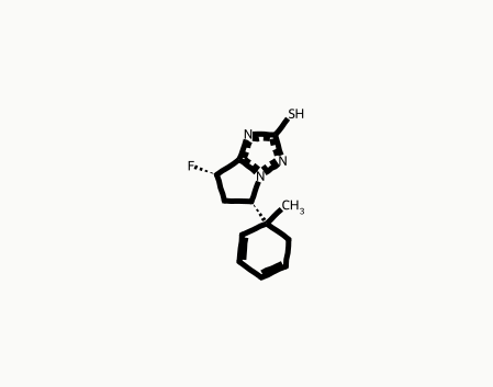 CC1([C@@H]2C[C@H](F)c3nc(S)nn32)C=CC=CC1